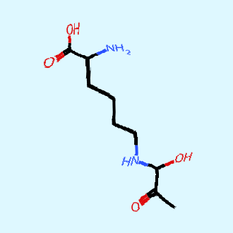 CC(=O)C(O)NCCCCC(N)C(=O)O